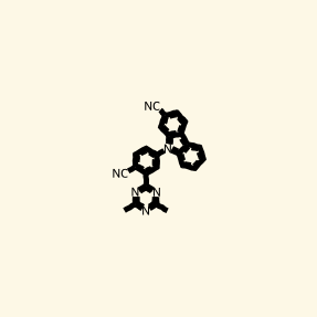 Cc1nc(C)nc(-c2cc(-n3c4ccccc4c4ccc(C#N)cc43)ccc2C#N)n1